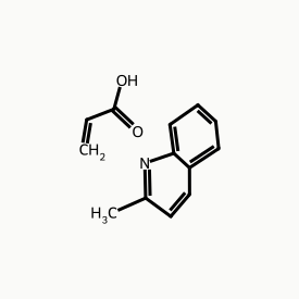 C=CC(=O)O.Cc1ccc2ccccc2n1